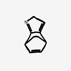 C1=CC2CCC1C1=CCN=C12